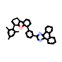 Cc1cc(C)c(C2=CCCc3c2oc2c(-c4cccc(-c5cnc6c7ccccc7c7ccccc7c6n5)c4)cccc32)c(C)c1